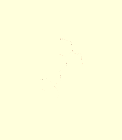 CCCCN(CCC[Si](OCC)(OCC)OCC)/C(=N\C(C)C)NC(C)C